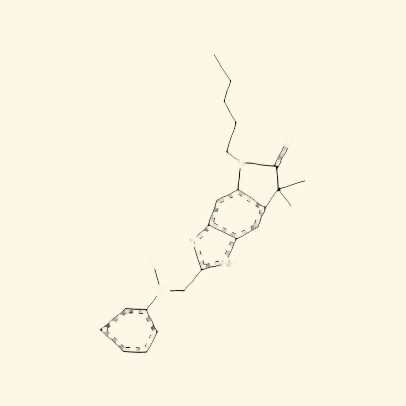 CCCCCN1C(=O)C(C)(C)c2cc3[nH]c(C[S+]([O-])c4ccccc4)nc3cc21